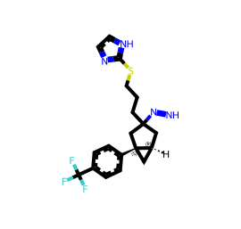 N=NC1(CCCSc2ncc[nH]2)C[C@H]2C[C@]2(c2ccc(C(F)(F)F)cc2)C1